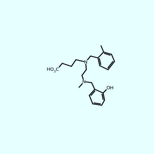 Cc1ccccc1CN(CCCC(=O)O)CCN(C)Cc1ccccc1O